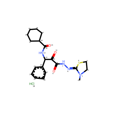 CN1CCS/C1=N\NC(=O)C(=O)C(NC(=O)C1CCCCC1)c1ccccc1.Cl